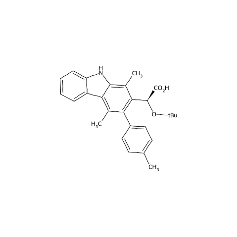 Cc1ccc(-c2c([C@H](OC(C)(C)C)C(=O)O)c(C)c3[nH]c4ccccc4c3c2C)cc1